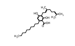 CCCCCCCCCCc1cc(O)c(C/C=C(\C)CCC=C(C)C)c(O)c1C(=O)O